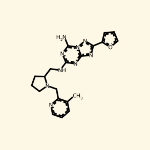 Cc1cccnc1CN1CCCC1CNc1nc(N)n2nc(-c3ccco3)nc2n1